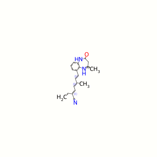 C=C\C(C#N)=C/C=C(C)/C=C/c1cccc2c1N[C@H](C)CC(=O)N2